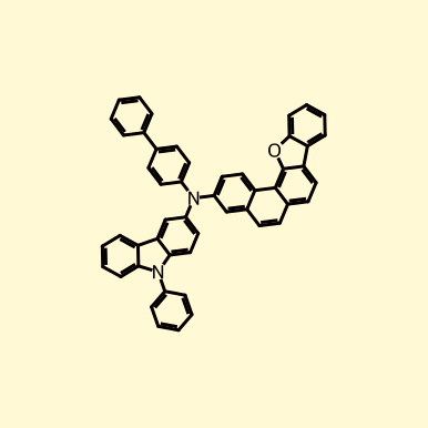 c1ccc(-c2ccc(N(c3ccc4c(ccc5ccc6c7ccccc7oc6c54)c3)c3ccc4c(c3)c3ccccc3n4-c3ccccc3)cc2)cc1